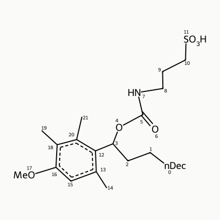 CCCCCCCCCCCCC(OC(=O)NCCCS(=O)(=O)O)c1c(C)cc(OC)c(C)c1C